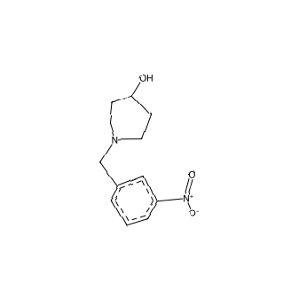 O=[N+]([O-])c1cccc(CN2CCC(O)CC2)c1